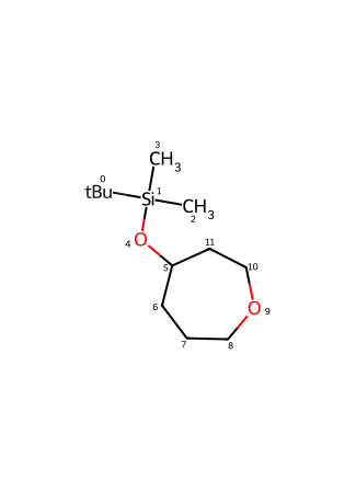 CC(C)(C)[Si](C)(C)OC1CCCOCC1